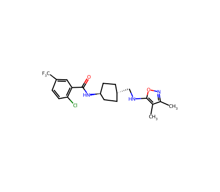 Cc1noc(NC[C@H]2CC[C@H](NC(=O)c3cc(C(F)(F)F)ccc3Cl)CC2)c1C